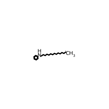 C[CH]CCCCCCCCCCCCCNc1ccccc1